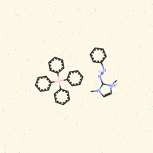 CN1C=C[NH+](C)C1/N=N/c1ccccc1.c1ccc([B-](c2ccccc2)(c2ccccc2)c2ccccc2)cc1